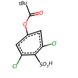 CC(C)(C)C(=O)Oc1cc(Cl)c(S(=O)(=O)O)c(Cl)c1